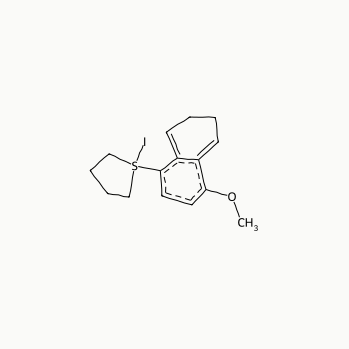 COc1ccc(S2(I)CCCC2)c2c1=CCCC=2